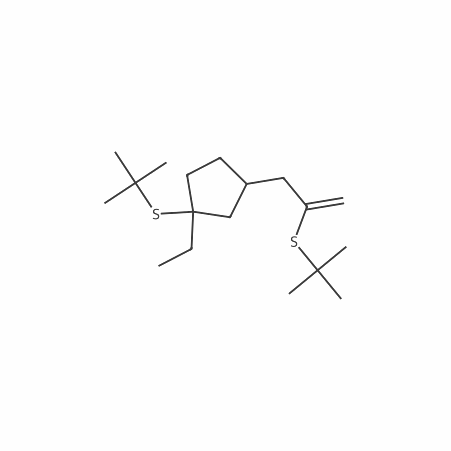 C=C(CC1CCC(CC)(SC(C)(C)C)C1)SC(C)(C)C